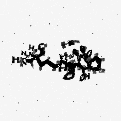 CCC(N)(CC)CCCNC(=O)C1=C(O)c2ccccc2S(=O)(=O)N1C.I